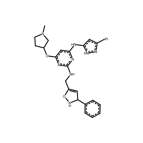 CC(C)c1cc(Nc2cc(OC3CCN(C)C3)nc(NCC3=CC(c4ccccc4)NO3)n2)[nH]n1